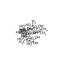 CC1C(O)[C@H](O[C@H](OC(CO)[C@H](O)CO)[C@H](C)O)[C@H](CO)O[C@H]1O[C@@H]1C(O)[C@H](O)C(CO)O[C@@H]1OCC1O[C@@H](O[C@@H]2C(CO)O[C@@H](O[C@@H]3C(CO)O[C@@H](C)[C@@H](C)C3O)[C@@H](C)C2O)[C@H](O)C(O)[C@@H]1O